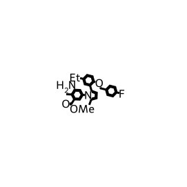 CCc1ccc(OCc2ccc(F)cc2)c(-c2ccc(C)n2-c2cc(N)c(C)c(C(=O)OC)c2)c1